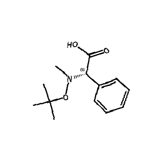 CN(OC(C)(C)C)[C@H](C(=O)O)c1ccccc1